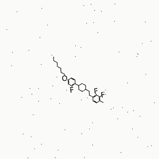 CCCCCCCOc1ccc(C2CCC(CCc3ccc(C)c(F)c3F)CC2)c(F)c1